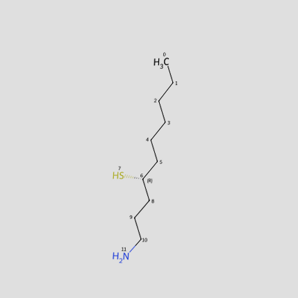 CCCCCC[C@@H](S)CCCN